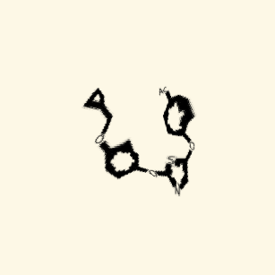 CC(=O)c1ccc(Oc2cnc(Oc3ccc(OCC4CC4)cc3)s2)cc1